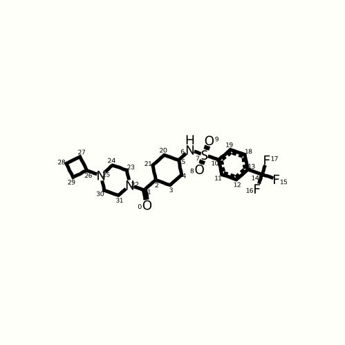 O=C(C1CCC(NS(=O)(=O)c2ccc(C(F)(F)F)cc2)CC1)N1CCN(C2CCC2)CC1